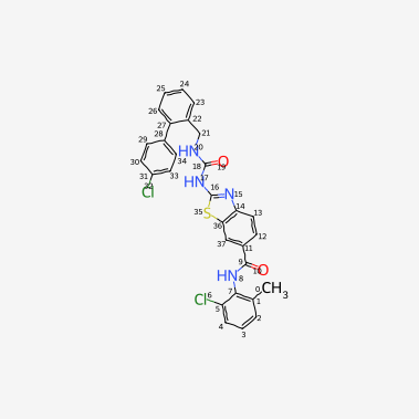 Cc1cccc(Cl)c1NC(=O)c1ccc2nc(NC(=O)NCc3ccccc3-c3ccc(Cl)cc3)sc2c1